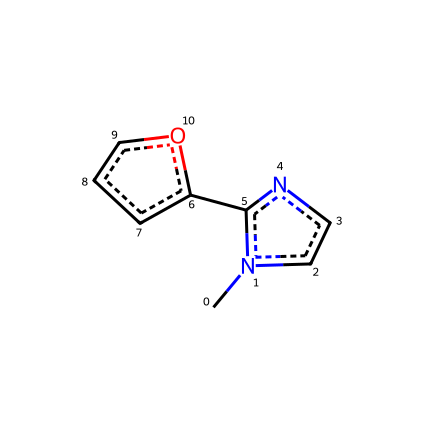 Cn1ccnc1-c1ccco1